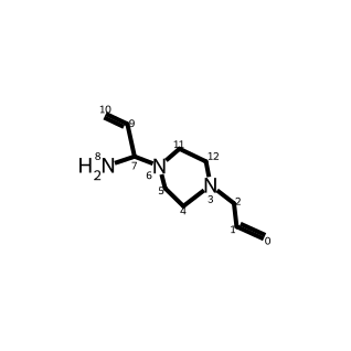 C=CCN1CCN(C(N)C=C)CC1